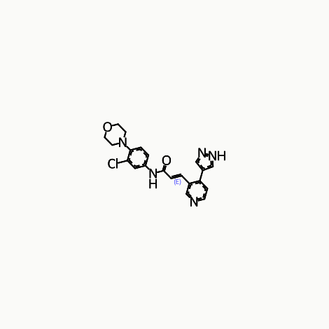 O=C(/C=C/c1cnccc1-c1cn[nH]c1)Nc1ccc(N2CCOCC2)c(Cl)c1